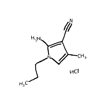 CCCn1cc(C)c(C#N)c1N.Cl